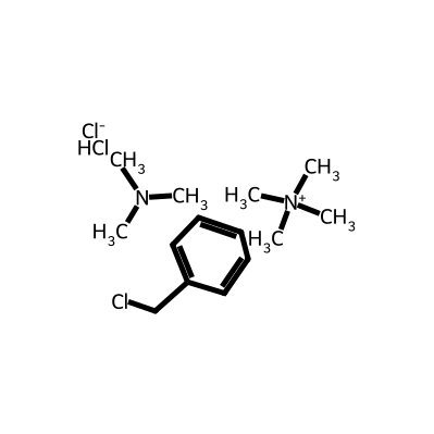 CN(C)C.C[N+](C)(C)C.Cl.ClCc1ccccc1.[Cl-]